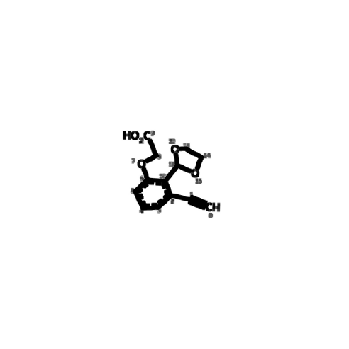 C#Cc1cccc(OCC(=O)O)c1C1OCCO1